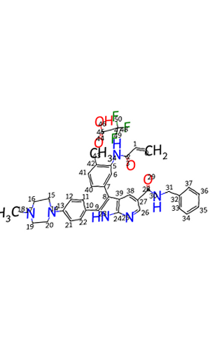 C=CC(=O)Nc1cc(-c2c(-c3ccc(N4CCN(C)CC4)cc3)[nH]c3ncc(C(=O)NCc4ccccc4)cc23)ccc1C.O=C(O)C(F)(F)F